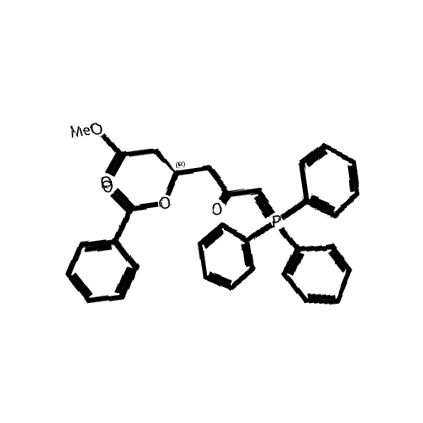 COC(=O)C[C@@H](CC(=O)C=P(c1ccccc1)(c1ccccc1)c1ccccc1)OC(=O)c1ccccc1